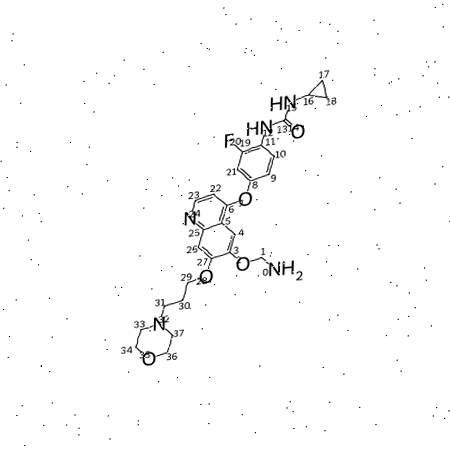 NCOc1cc2c(Oc3ccc(NC(=O)NC4CC4)c(F)c3)ccnc2cc1OCCCN1CCOCC1